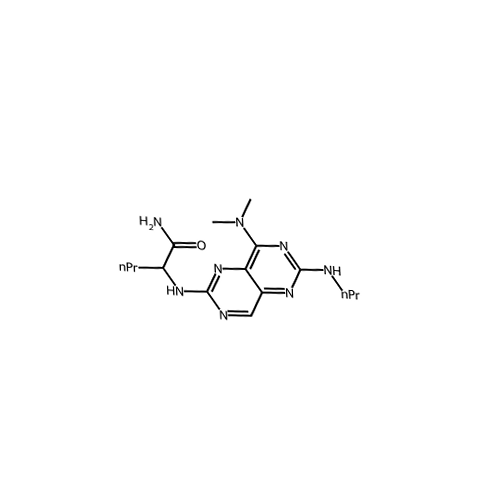 CCCNc1nc(N(C)C)c2nc(NC(CCC)C(N)=O)ncc2n1